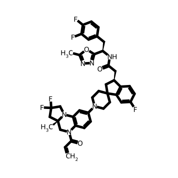 C=CC(=O)N1C[C@]2(C)CC(F)(F)CN2c2cc(N3CCC4(CC3)C[C@@H](CC(=O)N[C@H](Cc3ccc(F)c(F)c3)c3nnc(C)o3)c3ccc(F)cc34)ccc21